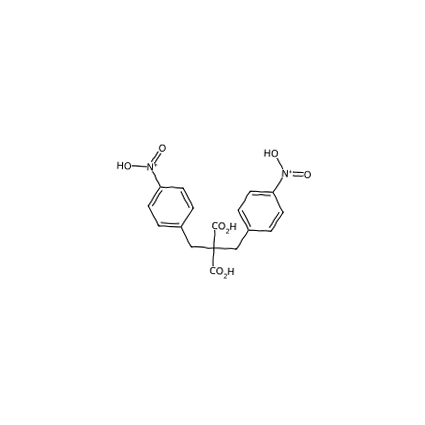 O=C(O)C(Cc1ccc([N+](=O)O)cc1)(Cc1ccc([N+](=O)O)cc1)C(=O)O